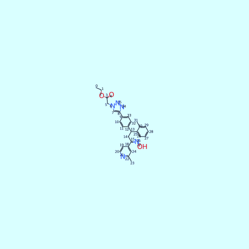 CCOC(=O)Cn1cc(-c2ccc(C(CC(=NO)c3ccnc(C)c3)c3ccccc3C)cc2)nn1